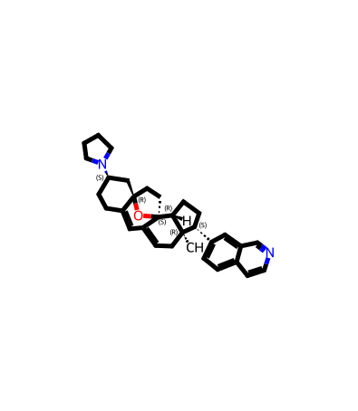 C[C@]12CC=C3C=C4CC[C@H](N5CCCC5)C[C@]45CC[C@]3(O5)[C@@H]1CC[C@@H]2c1ccc2ccncc2c1